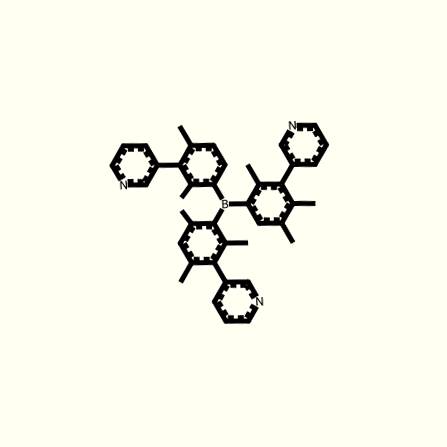 Cc1cc(B(c2ccc(C)c(-c3cccnc3)c2C)c2c(C)cc(C)c(-c3cccnc3)c2C)c(C)c(-c2cccnc2)c1C